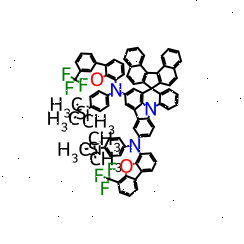 C[Si](C)(C)c1ccc(N(c2ccc3c(c2)c2cc(N(c4ccc([Si](C)(C)C)cc4)c4cccc5c4oc4c(C(F)(F)F)cccc45)cc4c2n3-c2ccccc2C42c3ccc4ccccc4c3-c3c2ccc2ccccc32)c2cccc3c2oc2c(C(F)(F)F)cccc23)cc1